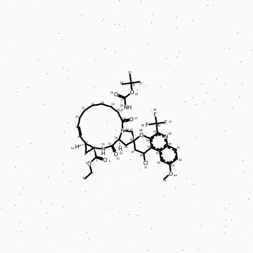 CCOC(=O)[C@@]12C[C@H]1/C=C\CCCCC[C@H](NC(=O)OC(C)(C)C)C(=O)N1C[C@@]3(CC(Cl)c4c(c(C(F)(F)F)nc5ccc(OC)cc45)O3)C[C@H]1C(=O)N2